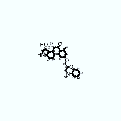 Cc1cc(OC[C@@H]2CN(C)c3ccccc3O2)ccc1C(=O)C(C(=O)O)c1cccc2[nH]ccc12